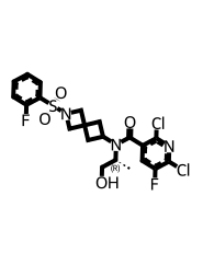 C[C@H](CO)N(C(=O)c1cc(F)c(Cl)nc1Cl)C1CC2(C1)CN(S(=O)(=O)c1ccccc1F)C2